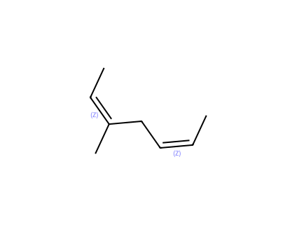 C/C=C\C/C(C)=C\C